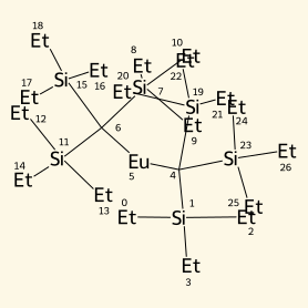 CC[Si](CC)(CC)[C]([Eu][C]([Si](CC)(CC)CC)([Si](CC)(CC)CC)[Si](CC)(CC)CC)([Si](CC)(CC)CC)[Si](CC)(CC)CC